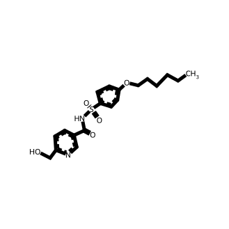 CCCCCCOc1ccc(S(=O)(=O)NC(=O)c2ccc(CO)nc2)cc1